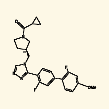 COc1ccc(-c2ccc(-c3nncn3C[C@H]3CCN(C(=O)C4CC4)C3)c(F)c2)c(F)c1